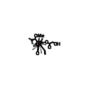 C=C[C@]1(C)C[C@H](OC(=O)CO)[C@@]2(C)C3C(OC)[C@H](C)C[C@]3(CC[C@@H]2C)[C@@H](C)C1=O